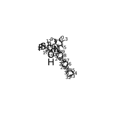 Cc1c(C)c(C)c2c(c1C)c1c(C)c(SF)c(C)c(O)c1n2-c1ccc(-c2ccc(-c3ccccc3)cc2)cc1